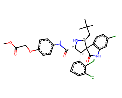 COC(=O)COc1ccc(NC(=O)[C@@H]2N[C@@H](CC(C)(C)C)C3(C(=O)Nc4cc(Cl)ccc43)[C@@H]2c2cccc(Cl)c2F)cc1